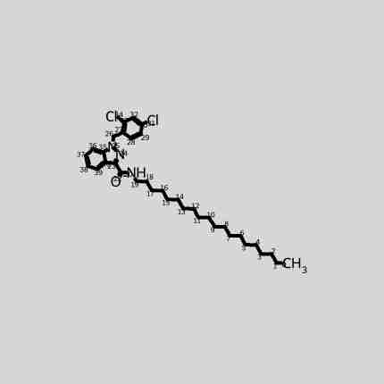 CCCCCCCCCCCCCCCCCCCCNC(=O)c1nn(Cc2ccc(Cl)cc2Cl)c2ccccc12